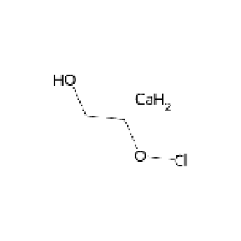 OCCOCl.[CaH2]